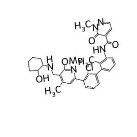 COc1nc(-c2cccc(-c3cccc(NC(=O)c4ccnn(C)c4=O)c3C)c2Cl)cc(C)c1CNC1CCCCC1O